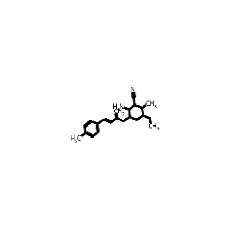 C=C(/C=C/c1ccc(C)cc1)CC1CC(CC)C(C)C(C#N)C1N